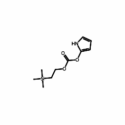 C[Si](C)(C)CCOC(=O)Oc1ccc[nH]1